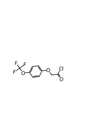 O=C(Cl)COc1ccc(OC(F)(F)F)cc1